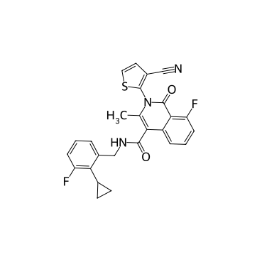 Cc1c(C(=O)NCc2cccc(F)c2C2CC2)c2cccc(F)c2c(=O)n1-c1sccc1C#N